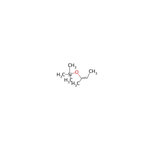 C/C=C(/C)O[Si](C)(C)C